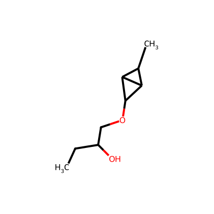 CCC(O)COC1C2C(C)C12